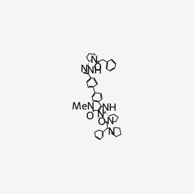 CNC(=O)c1nc([C@@H]2CCCN2C(=O)[C@@H](C2=CC=CCC2)N2CCCCC2)[nH]c1-c1ccc(-c2ccc(-c3cnc([C@@H]4CCCN4C(=O)Cc4ccccc4)[nH]3)cc2)cc1